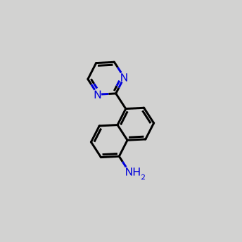 Nc1cccc2c(-c3ncccn3)cccc12